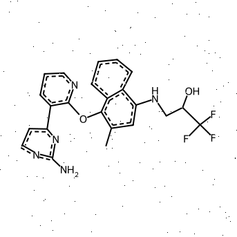 Cc1cc(NCC(O)C(F)(F)F)c2ccccc2c1Oc1ncccc1-c1ccnc(N)n1